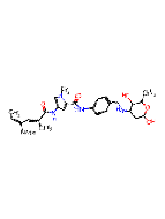 C/C=C(\C=C(/C)C(=O)Nc1cc(C(=O)Nc2ccc(CNC3CC(O)OC(C)C3O)cc2)n(C)c1)NC